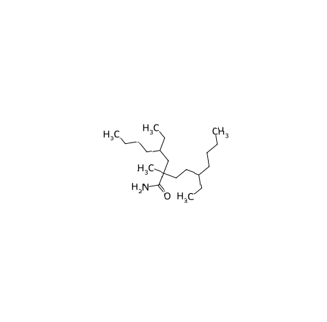 CCCCC(CC)CCC(C)(CC(CC)CCCC)C(N)=O